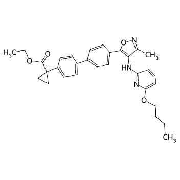 CCCCOc1cccc(Nc2c(C)noc2-c2ccc(-c3ccc(C4(C(=O)OCC)CC4)cc3)cc2)n1